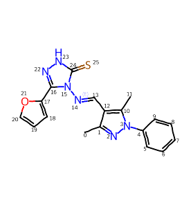 Cc1nn(-c2ccccc2)c(C)c1/C=N/n1c(-c2ccco2)n[nH]c1=S